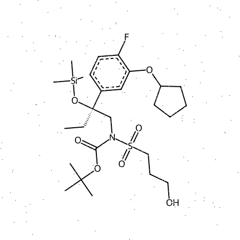 CC[C@](CN(C(=O)OC(C)(C)C)S(=O)(=O)CCCO)(O[Si](C)(C)C)c1ccc(F)c(OC2CCCC2)c1